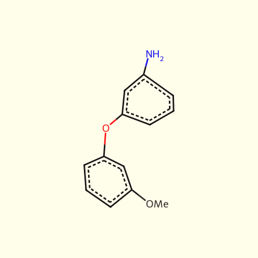 COc1cccc(Oc2cccc(N)c2)c1